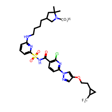 CC1(C)CC(CCCCNc2cccc(S(=O)(=O)NC(=O)c3ccc(-n4cc(OCCC5CC5C(F)(F)F)cn4)nc3Cl)n2)CN1C(=O)O